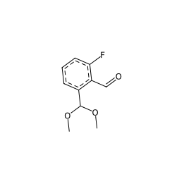 COC(OC)c1cccc(F)c1C=O